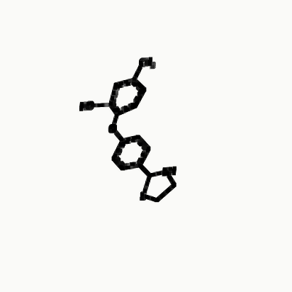 Cc1ccc(Oc2ccc(C3NCCS3)cc2)c(O)c1